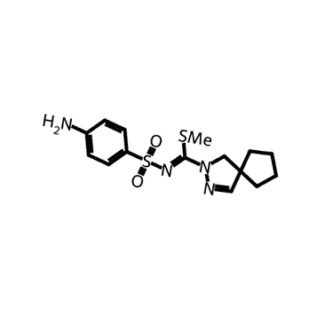 CS/C(=N\S(=O)(=O)c1ccc(N)cc1)N1CC2(C=N1)CCCC2